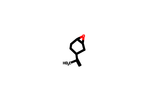 C=C(C(=O)O)C1CCC2OC2C1